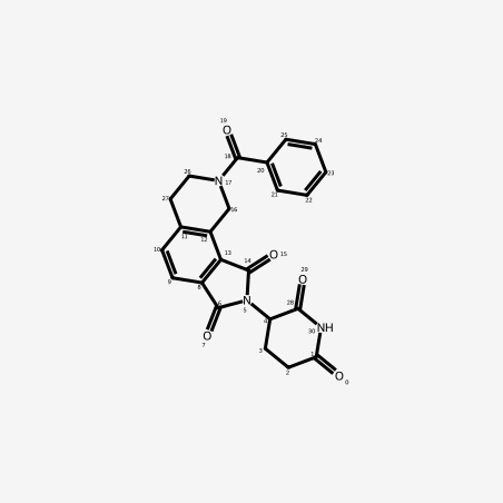 O=C1CCC(N2C(=O)c3ccc4c(c3C2=O)CN(C(=O)c2ccccc2)CC4)C(=O)N1